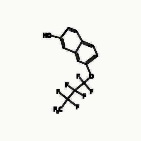 Oc1ccc2ccc(OC(F)(F)C(F)(F)C(F)(F)C(F)(F)F)cc2c1